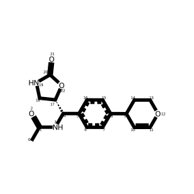 CC(=O)NC(c1ccc(C2C=COCC2)cc1)[C@@H]1CNC(=O)O1